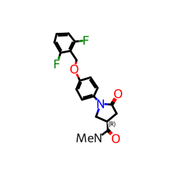 CNC(=O)[C@@H]1CC(=O)N(c2ccc(OCc3c(F)cccc3F)cc2)C1